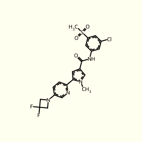 Cn1cc(C(=O)Nc2cc(Cl)cc(S(C)(=O)=O)c2)cc1-c1ccc(N2CC(F)(F)C2)cn1